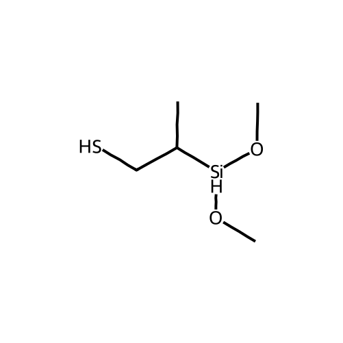 CO[SiH](OC)C(C)CS